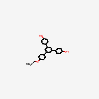 O=C(O)COc1ccc(-c2cc(-c3ccc(O)cc3)cc(-c3ccc(O)cc3)c2)cc1